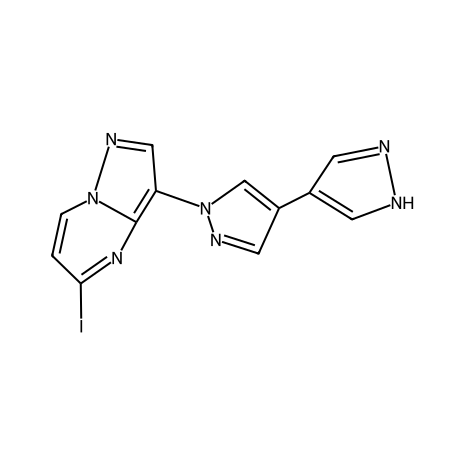 Ic1ccn2ncc(-n3cc(-c4cn[nH]c4)cn3)c2n1